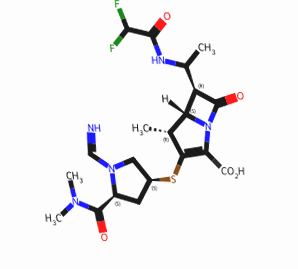 CC(NC(=O)C(F)F)[C@H]1C(=O)N2C(C(=O)O)=C(S[C@H]3C[C@@H](C(=O)N(C)C)N(C=N)C3)[C@H](C)[C@H]12